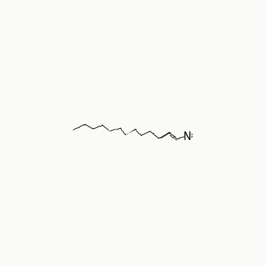 CCCCCCCCCCC/C=C/[N]